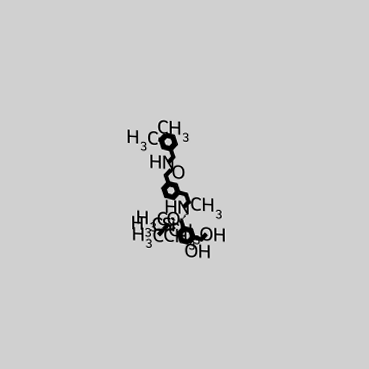 Cc1ccc(CNC(=O)Cc2cccc(C[C@@H](C)NC[C@@H](O[Si](C)(C)C(C)(C)C)c3ccc(O)c(CO)c3)c2)cc1C